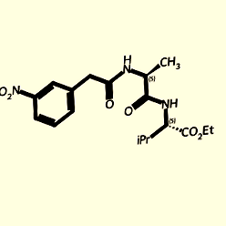 CCOC(=O)[C@@H](NC(=O)[C@H](C)NC(=O)Cc1cccc([N+](=O)[O-])c1)C(C)C